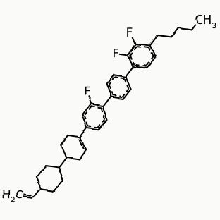 C=CC1CCC(C2CC=C(c3ccc(-c4ccc(-c5ccc(CCCCC)c(F)c5F)cc4)c(F)c3)CC2)CC1